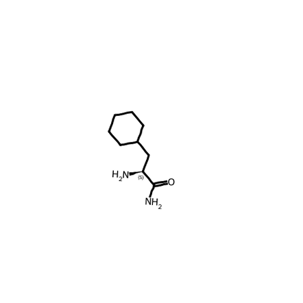 NC(=O)[C@@H](N)CC1CCCCC1